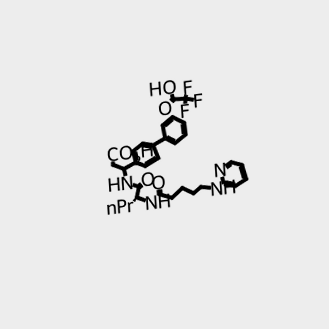 CCC[C@H](NC(=O)CCCCNc1ccccn1)C(=O)NC(CC(=O)O)c1ccc(-c2ccccc2)cc1.O=C(O)C(F)(F)F